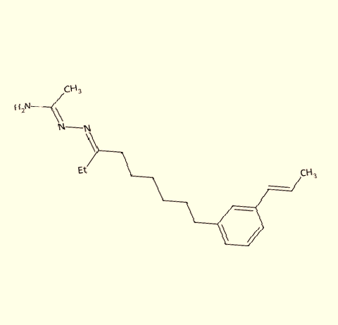 C/C=C/c1cccc(CCCCCC/C(CC)=N/N=C(\C)N)c1